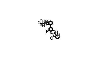 [2H]C1([2H])c2ncccc2C(=O)N1Cc1c(C)cc(-c2cccc3nn(C([2H])([2H])[2H])cc23)cc1F